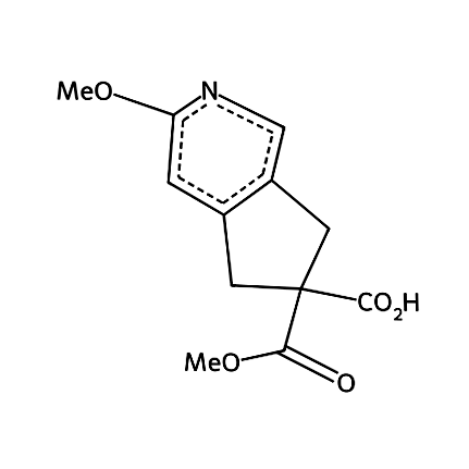 COC(=O)C1(C(=O)O)Cc2cnc(OC)cc2C1